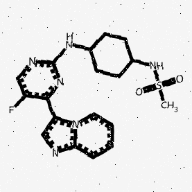 CS(=O)(=O)NC1CCC(Nc2ncc(F)c(-c3cnc4ccccn34)n2)CC1